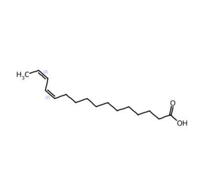 C/C=C\C=C/CCCCCCCCCCC(=O)O